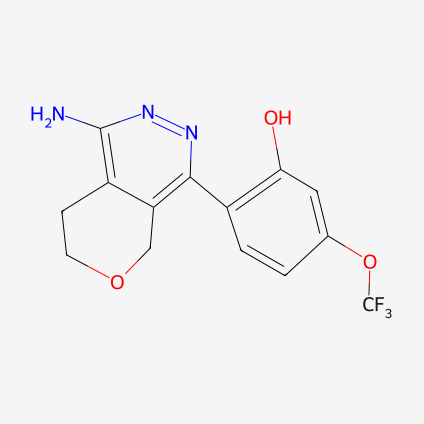 Nc1nnc(-c2ccc(OC(F)(F)F)cc2O)c2c1CCOC2